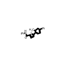 CC(C)NC(=O)c1ccc(C2=CC=C(C(C)C)CC2C)s1